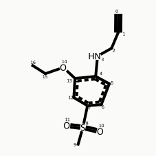 C#CCNc1ccc(S(C)(=O)=O)cc1OCC